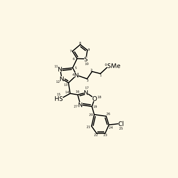 CSCCCn1c(-c2cccs2)nnc1C(S)c1noc(-c2cccc(Cl)c2)n1